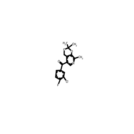 Cc1ncc(C(=O)c2ccc(F)c(Cl)c2)c2c1OC(C)(C)OC2